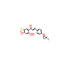 COc1ccc(C=CC(=O)c2cc3c(cc2O)OCS3)cc1